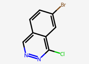 Clc1nncc2ccc(Br)cc12